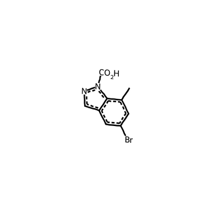 Cc1cc(Br)cc2cnn(C(=O)O)c12